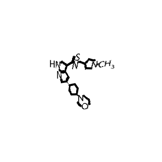 CN1CCC(c2nc(C3CNc4ncc([C@H]5CC[C@H](N6CCCOCC6)CC5)cc43)cs2)CC1